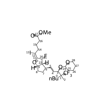 CCCCC(C)([C@@H](/C=C/[C@H]1CC[C@@H]2OC(C(I)CCCC(=O)OC)C(F)[C@@H]21)OC1CCCCO1)C(F)(F)F